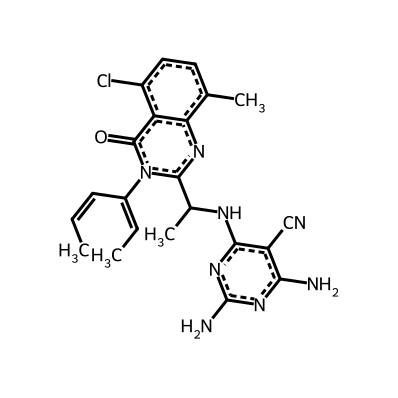 C/C=C\C(=C/C)n1c(C(C)Nc2nc(N)nc(N)c2C#N)nc2c(C)ccc(Cl)c2c1=O